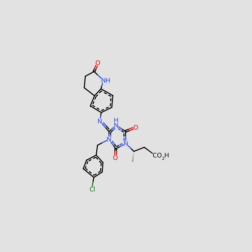 C[C@@H](CC(=O)O)n1c(=O)[nH]/c(=N\c2ccc3c(c2)CCC(=O)N3)n(Cc2ccc(Cl)cc2)c1=O